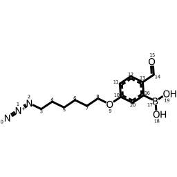 [N-]=[N+]=NCCCCCCOc1ccc(C=O)c(B(O)O)c1